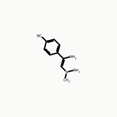 CN(N)/C=C(\N)c1ccc(C#N)cc1